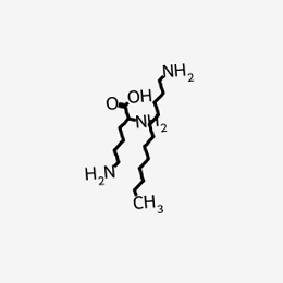 CCCCCCCCCCCCN.NCCCCC(N)C(=O)O